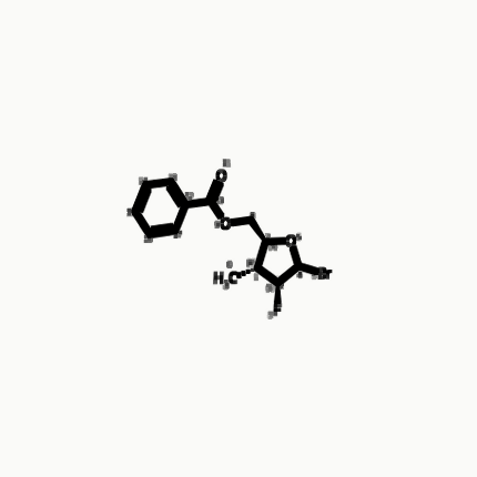 C[C@H]1[C@H](F)C(Br)O[C@@H]1COC(=O)c1ccccc1